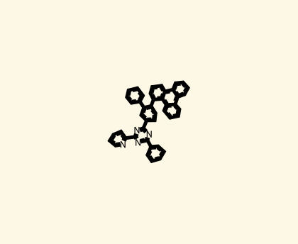 c1ccc(-c2nc(-c3ccc(-c4cccc5c6ccccc6c6ccccc6c45)c(-c4ccccc4)c3)nc(-c3ccccn3)n2)cc1